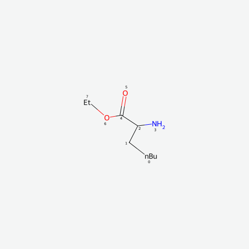 CCCCCC(N)C(=O)OCC